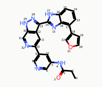 CCC(=O)Nc1cncc(-c2cc3c(-c4nc5c(-c6ccoc6)cccc5[nH]4)n[nH]c3cn2)c1